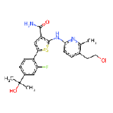 Cc1nc(Nc2sc(-c3ccc(C(C)(C)O)cc3F)cc2C(N)=O)ccc1CCO